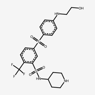 O=S(=O)(NC1CCNCC1)c1cc(S(=O)(=O)c2ccc(NCCO)cc2)ccc1C(F)(F)F